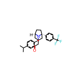 CC(C)c1ccc(CN2[C@@H]3CC[C@@]2(c2ccc(C(F)(F)F)cc2)CC(CC=O)C3)cc1